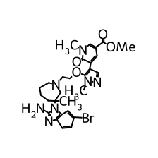 COC(=O)c1cc(-c2cnn(C)c2OCCN2CCCCC(C)(n3c(N)nc4ccc(Br)cc43)C2)c(=O)n(C)c1